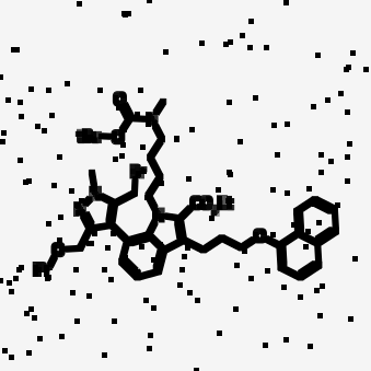 CCOC(=O)c1c(CCCOc2cccc3ccccc23)c2cccc(-c3c(COC(C)C)nn(C)c3CBr)c2n1CCCCN(C)C(=O)OC(C)(C)C